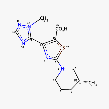 C[C@@H]1CCCN(c2nc(-c3ncnn3C)c(C(=O)O)s2)C1